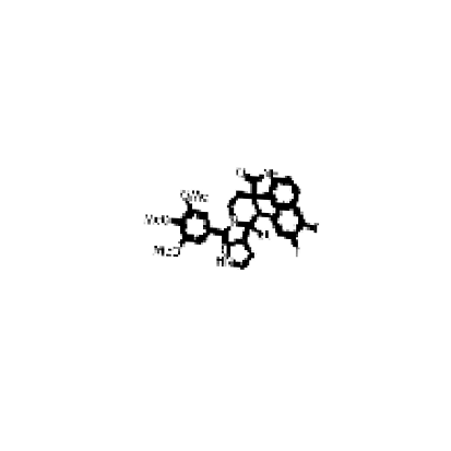 CCC1(C2CCNC2)C(c2ccc(F)c(F)c2)C(C(N)=O)(c2ccccc2)CCN1C(=O)c1cc(OC)c(OC)c(OC)c1